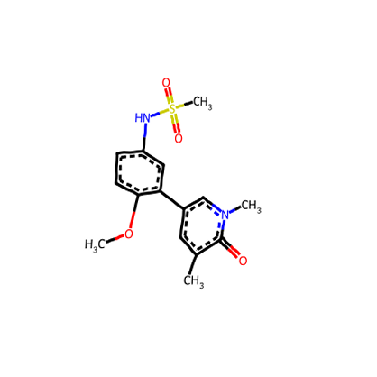 COc1ccc(NS(C)(=O)=O)cc1-c1cc(C)c(=O)n(C)c1